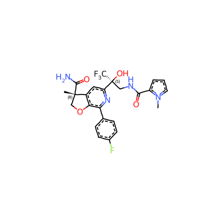 Cn1cccc1C(=O)NC[C@](O)(c1cc2c(c(-c3ccc(F)cc3)n1)OC[C@]2(C)C(N)=O)C(F)(F)F